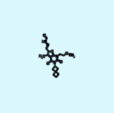 COCCn1c(=O)n(C2CC3(CCC3)C2)c(=O)c2c(C)c(/C=N/NC=O)sc21